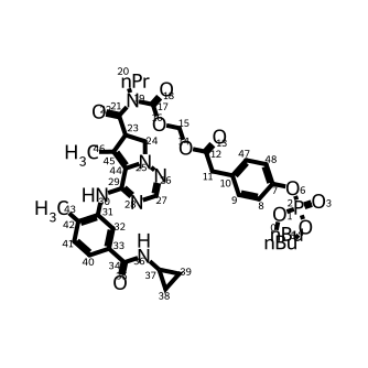 CCCCOP(=O)(OCCCC)Oc1ccc(CC(=O)OCOC(=O)N(CCC)C(=O)C2CN3N=CN=C(Nc4cc(C(=O)NC5CC5)ccc4C)C3=C2C)cc1